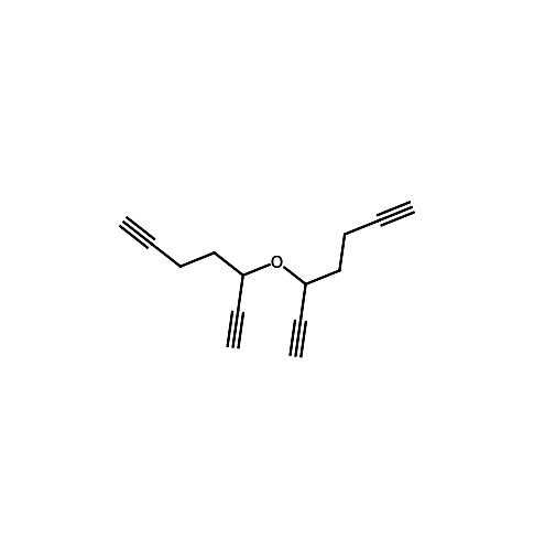 C#CCCC(C#C)OC(C#C)CCC#C